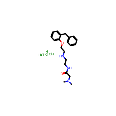 CN(C)CC(=O)NCCNCCOc1ccccc1Cc1ccccc1.Cl.Cl.Cl